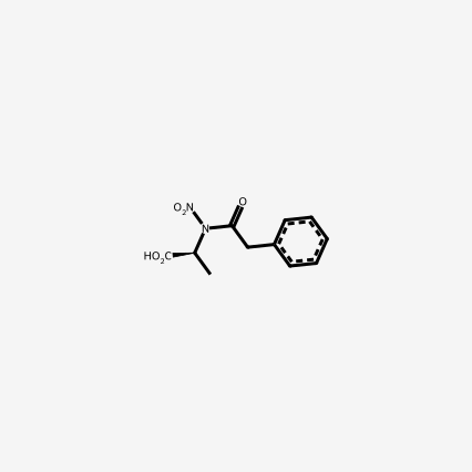 C[C@@H](C(=O)O)N(C(=O)Cc1ccccc1)[N+](=O)[O-]